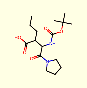 CCCC(C(=O)O)C(NC(=O)OC(C)(C)C)C(=O)N1CCCC1